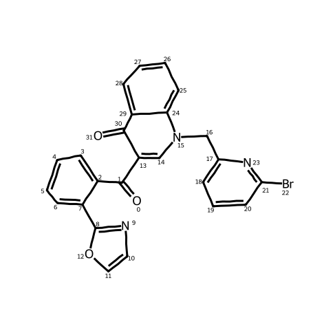 O=C(c1ccccc1-c1ncco1)c1cn(Cc2cccc(Br)n2)c2ccccc2c1=O